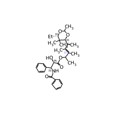 CC[C@@H]1OC(C)O[C@@H]([C@@H](C)/C(C)=C(\C)C(C)OC(=O)[C@H](O)[C@@H](NC(=O)c2ccccc2)c2ccccc2)C1(C)C